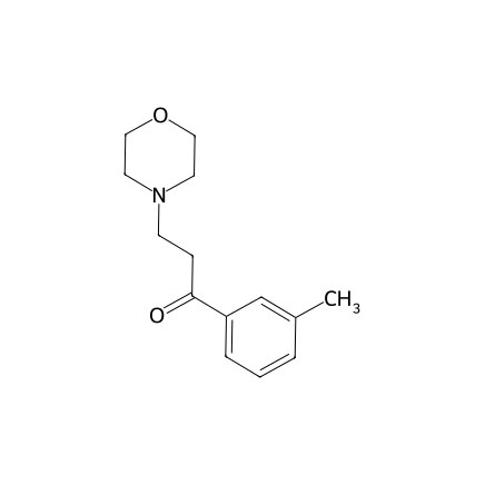 Cc1cccc(C(=O)CCN2CCOCC2)c1